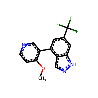 COc1ccncc1-c1cc(C(F)(F)F)cc2[nH]ncc12